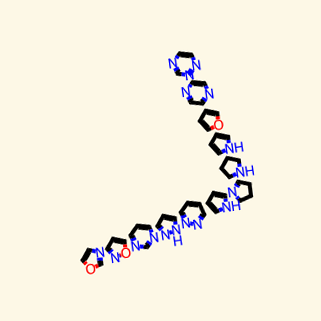 C1=NCCC1.C1CCNC1.c1cc[nH]c1.c1cc[nH]c1.c1ccnnc1.c1ccoc1.c1cn[nH]c1.c1cnccn1.c1cncnc1.c1cnncn1.c1cnoc1.c1cocn1